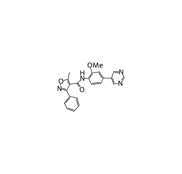 COc1cc(-c2cncnc2)ccc1NC(=O)c1c(-c2ccccc2)noc1C